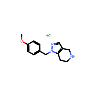 COc1ccc(Cn2ncc3c2CCNC3)cc1.Cl